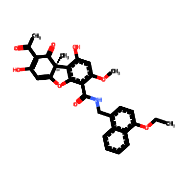 CCOc1ccc(CNC(=O)c2c(OC)cc(O)c3c2OC2=CC(O)=C(C(C)=O)C(=O)[C@]23C)c2ccccc12